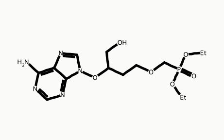 CCOP(=O)(COCCC(CO)On1cnc2c(N)ncnc21)OCC